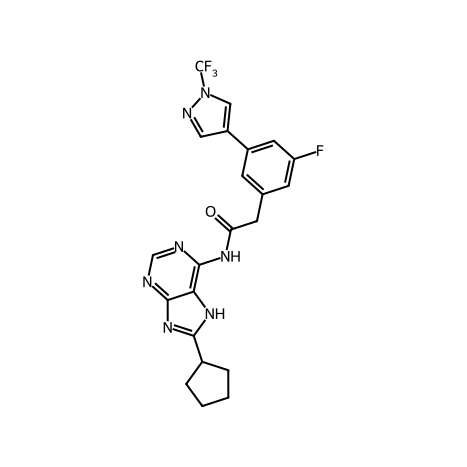 O=C(Cc1cc(F)cc(-c2cnn(C(F)(F)F)c2)c1)Nc1ncnc2nc(C3CCCC3)[nH]c12